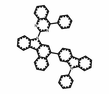 c1ccc(-c2nc(-n3c4ccccc4c4c5ccccc5c(-c5ccc6c7ccccc7n(-c7ccccc7)c6c5)cc43)nc3ccccc23)cc1